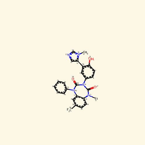 CCN1C(=O)N(c2ccc(O)c(-c3cncn3C)c2)C(=O)N(c2ccccc2)c2cc(C(F)(F)F)ccc21